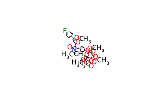 COC(=O)[C@H]1O[C@@H](Oc2ccc([C@@H]3C(CC[C@H](OC(C)=O)c4ccc(F)cc4)C(=O)N3C(C)C)cc2)C(OC(C)=O)[C@@H](OC(C)=O)C1OC(C)=O